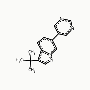 CC(C)(C)c1cnn2cc(-c3cncnc3)ccc12